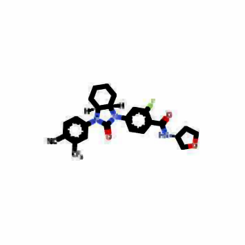 N#Cc1ccc(N2C(=O)N(c3ccc(C(=O)N[C@@H]4CCOC4)c(F)c3)[C@H]3CCCC[C@@H]32)cc1C(F)(F)F